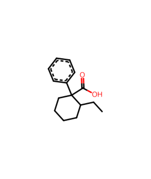 CCC1CCCCC1(C(=O)O)c1ccccc1